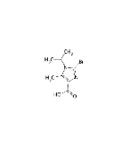 Cc1c(C(=O)O)nc(Br)n1C(C)C